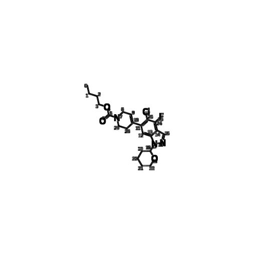 CCCCOC(=O)N1CC=C(c2cc3c(cnn3C3CCCCO3)c(F)c2Cl)CC1